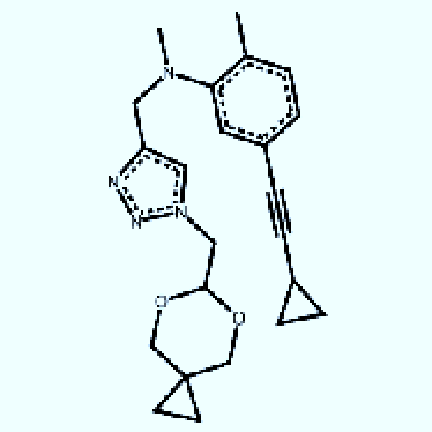 Cc1ccc(C#CC2CC2)cc1N(C)Cc1cn(CC2OCC3(CC3)CO2)nn1